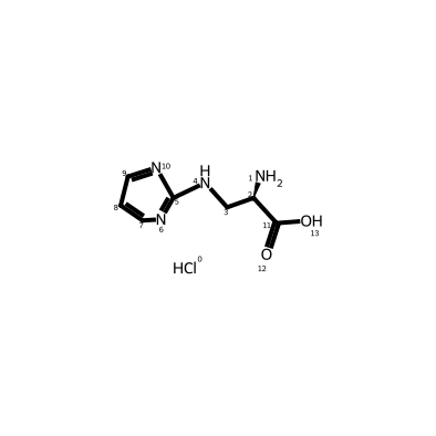 Cl.N[C@H](CNc1ncccn1)C(=O)O